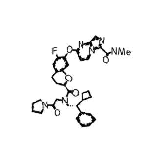 CNC(=O)c1ncc2nc(Oc3cc4c(cc3F)CC[C@H](C(=O)N(CC(=O)N3CCCC3)C[C@@H](c3ccccc3)C3CCC3)O4)ccn12